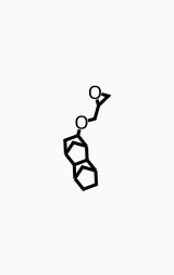 C1OC1COC1CC2CC1C1C3CCC(C3)C21